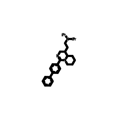 CC(C)N(CCC1CN=C(c2ccc(-c3ccccc3)cc2)N2CCCCC12)C(C)C